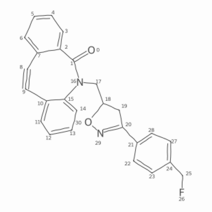 O=C1c2ccccc2C#Cc2ccccc2N1CC1CC(c2ccc(CF)cc2)=NO1